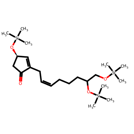 C[Si](C)(C)OCC(CCC/C=C\CC1=C[C@H](O[Si](C)(C)C)CC1=O)O[Si](C)(C)C